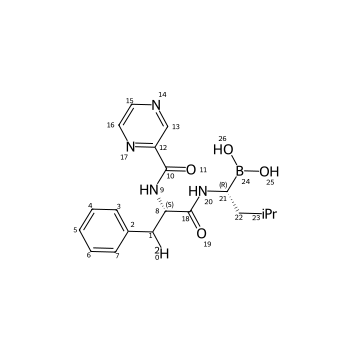 [2H]C(c1ccccc1)[C@H](NC(=O)c1cnccn1)C(=O)N[C@@H](CC(C)C)B(O)O